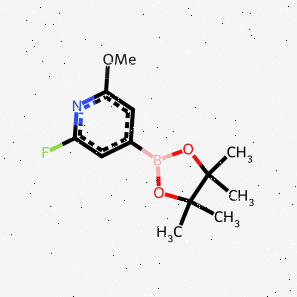 COc1cc(B2OC(C)(C)C(C)(C)O2)cc(F)n1